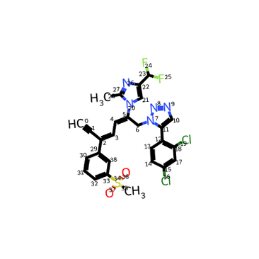 C#C/C(=C\C=C(/Cn1nncc1-c1ccc(Cl)cc1Cl)n1cc(C(F)F)nc1C)c1cccc(S(C)(=O)=O)c1